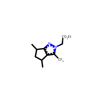 CCOC(=O)Cn1nc2c(c1C(F)(F)F)C(C)CC2C